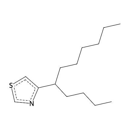 CCCCCCC(CCCC)c1cscn1